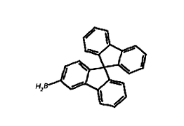 Bc1ccc2c(c1)-c1ccccc1C21c2ccccc2-c2ccccc21